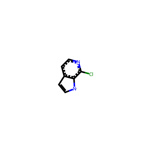 Clc1nccc2c1[N]C=C2